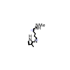 CNN/C=C\CC/C=N\c1[nH]ccc1C